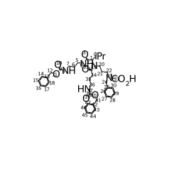 CC(C)C(C(=O)NCCCNC(=O)OCc1ccccc1)N(CCCN(Cc1ccccc1)C(=O)O)C(=O)CCCNC(=O)OCc1ccccc1